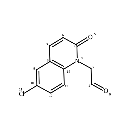 O=CCn1c(=O)ccc2cc(Cl)ccc21